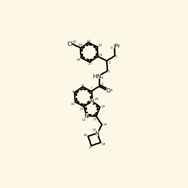 CC(C)CC(CNC(=O)c1cccc2nc(CN3CCC3)cn12)c1ccc(Cl)cc1